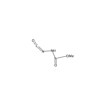 COC(=O)NN=C=O